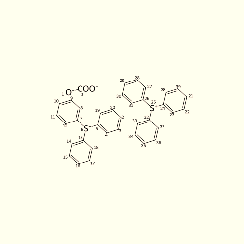 O=C([O-])[O-].c1ccc([S+](c2ccccc2)c2ccccc2)cc1.c1ccc([S+](c2ccccc2)c2ccccc2)cc1